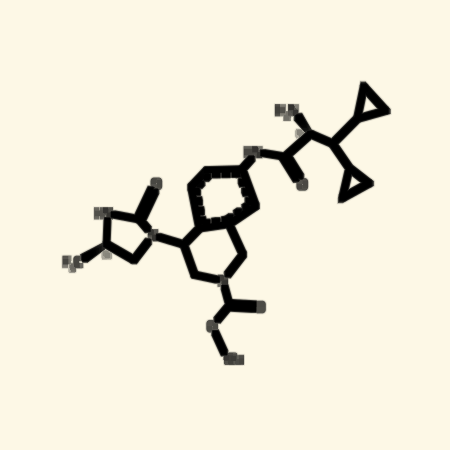 CC(C)(C)OC(=O)N1Cc2cc(NC(=O)[C@@H](N)C(C3CC3)C3CC3)ccc2C(N2C[C@@H](C(F)(F)F)NC2=O)C1